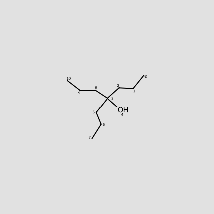 [CH2]CCC(O)(CCC)CCC